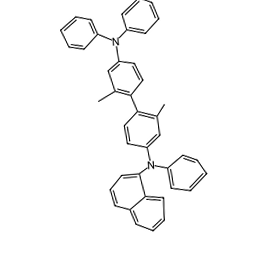 Cc1cc(N(c2ccccc2)c2ccccc2)ccc1-c1ccc(N(c2ccccc2)c2cccc3ccccc23)cc1C